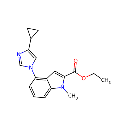 CCOC(=O)c1cc2c(-n3cnc(C4CC4)c3)cccc2n1C